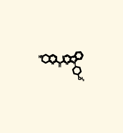 C[C@H]1CC[C@H](n2c3ccccc3c3cnc(Nc4ccc5c(n4)CCNC5)nc32)CC1